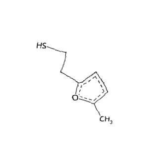 Cc1ccc(CCS)o1